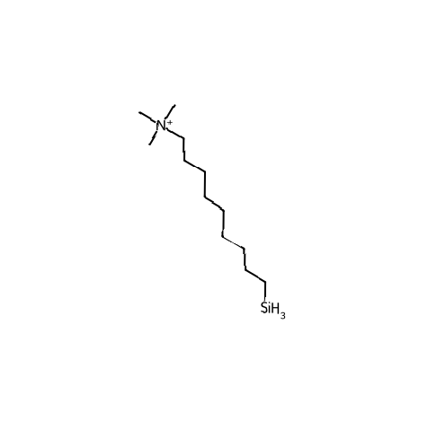 C[N+](C)(C)CCCCCCCCC[SiH3]